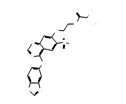 CC[C@H](C)[C@H](N)C(=O)OCCOc1cc2ncnc(Nc3ccc4scnc4c3)c2cc1S(=O)(=O)C(C)(C)C